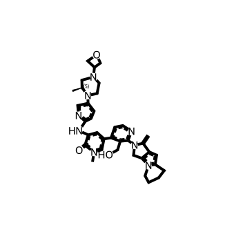 C=C1c2cc3n(c2CN1c1nccc(-c2cc(Nc4ccc(N5CCN(C6COC6)C[C@@H]5C)cn4)c(=O)n(C)c2)c1CO)CCCC3